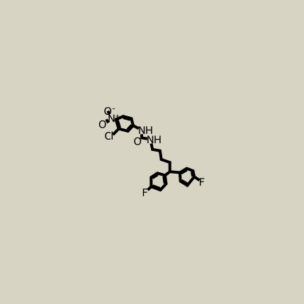 O=C(NCCCCC(c1ccc(F)cc1)c1ccc(F)cc1)Nc1ccc([N+](=O)[O-])c(Cl)c1